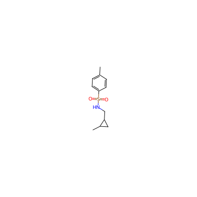 Cc1ccc(S(=O)(=O)NCC2CC2C)cc1